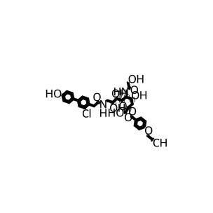 C#CCOc1ccc(CO[C@]2(C(=O)O)C[C@H](O)[C@@H](NC(=O)CO)[C@H]([C@H](O)[C@H](O)CNC(=O)Cc3ccc(-c4ccc(O)cc4)cc3Cl)O2)cc1